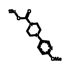 COc1ccc(N2CCN(C(=O)OC(C)(C)C)CC2)cn1